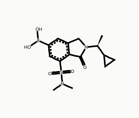 C[C@@H](C1CC1)N1Cc2cc(B(O)O)cc(S(=O)(=O)N(C)C)c2C1=O